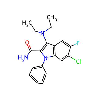 CCN(CC)c1c(C(N)=O)n(-c2ccccc2)c2cc(Cl)c(F)cc12